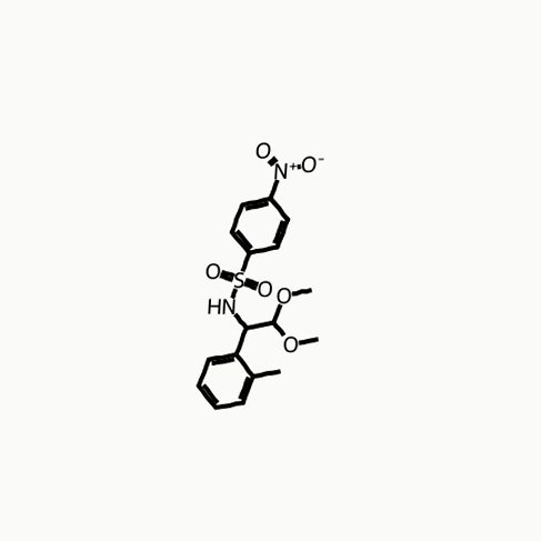 COC(OC)C(NS(=O)(=O)c1ccc([N+](=O)[O-])cc1)c1ccccc1C